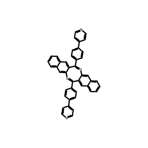 c1ccc2cc3c(cc2c1)/N=C(/c1ccc(-c2ccncc2)cc1)c1cc2ccccc2cc1/N=C\3c1ccc(-c2ccncc2)cc1